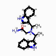 CC(c1c[nH]c2ccccc12)N(CC(N)=O)C(C)c1c[nH]c2ccccc12